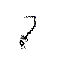 CCCCC/C=C\C/C=C\CCCCCCCC(=O)Nc1ccc(C)cc1